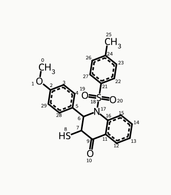 COc1ccc(C2C(S)C(=O)c3ccccc3N2S(=O)(=O)c2ccc(C)cc2)cc1